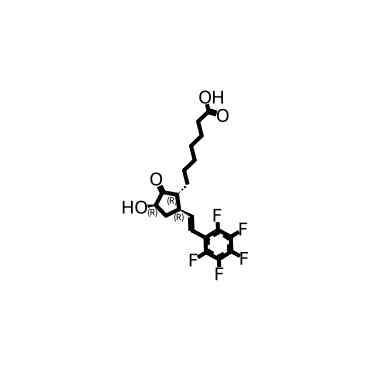 O=C(O)CCCCCC[C@H]1C(=O)[C@H](O)C[C@@H]1C=Cc1c(F)c(F)c(F)c(F)c1F